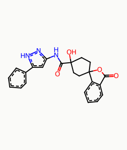 O=C1OC2(CCC(O)(C(=O)Nc3cc(-c4ccccc4)[nH]n3)CC2)c2ccccc21